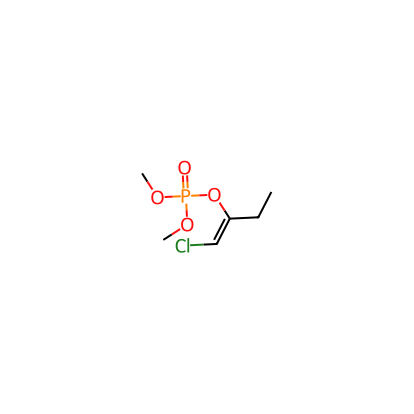 CCC(=CCl)OP(=O)(OC)OC